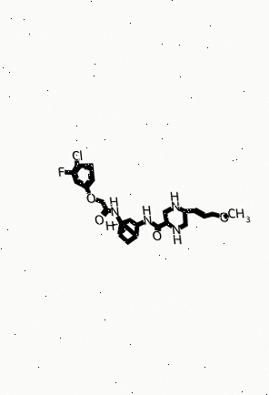 COC/C=C/C1CNC(C(=O)NC2C[C@H](NC(=O)COc3ccc(Cl)c(F)c3)C3CC2C3)CN1